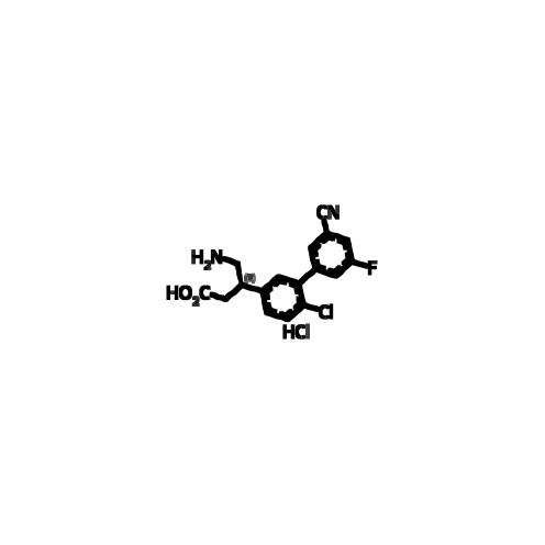 Cl.N#Cc1cc(F)cc(-c2cc([C@H](CN)CC(=O)O)ccc2Cl)c1